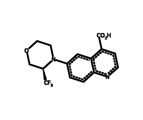 O=C(O)c1ccnc2ccc(N3CCOC[C@@H]3C(F)(F)F)cc12